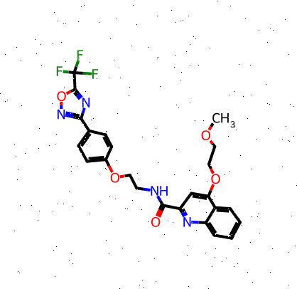 COCCOc1cc(C(=O)NCCOc2ccc(-c3noc(C(F)(F)F)n3)cc2)nc2ccccc12